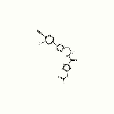 CC(=O)Cc1cc(C(=O)N[C@@H](C)Cn2ccc(-c3ccc(C#N)c(Cl)c3)n2)no1